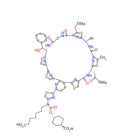 CNC(=O)C[C@@H]1NC(=O)c2csc(n2)-c2ccc(-c3nc(N(CCCCCCC(=O)O)C(=O)O[C@H]4CC[C@H](C(=O)O)CC4)cs3)nc2-c2csc(n2)-c2csc(n2)[C@H]([C@@H](O)c2ccccc2)NC(=O)CNC(=O)c2nc(sc2COC)C(C(C)C)NC(=O)c2nc1sc2C